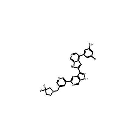 Oc1cc(F)cc(-c2cncc3[nH]c(-c4n[nH]c5cnc(-c6cncc(CN7CCC(F)(F)C7)c6)cc45)cc23)c1